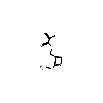 C=C(C)C(=O)OCC1COC1OC(F)(F)F